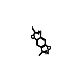 Cc1noc2cc3nc(I)oc3cc12